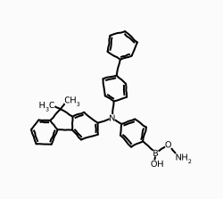 CC1(C)c2ccccc2-c2ccc(N(c3ccc(B(O)ON)cc3)c3ccc(-c4ccccc4)cc3)cc21